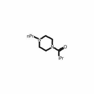 CCCN1CCN(C(=O)C(C)C)CC1